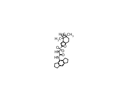 CC1(C)CCc2oc(S(=O)(=O)NC(=O)Nc3c4c(cc5c3CCC5)CCC4)cc2C1(C)O